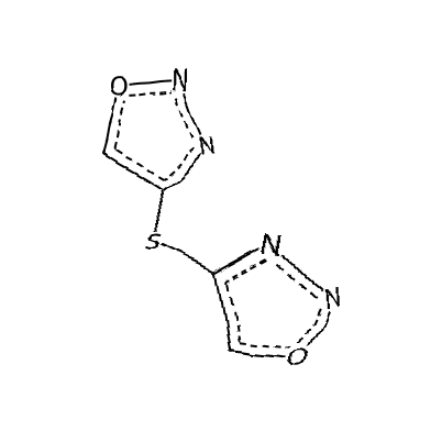 c1onnc1Sc1conn1